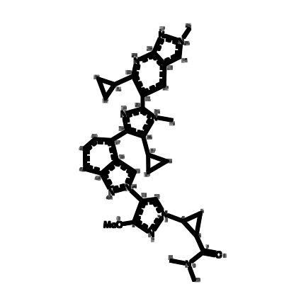 COc1nn(C2CC2C(=O)N(C)C)cc1-n1cc2c(-c3nc(-c4cc5cn(C)nc5nc4C4CC4)n(C)c3C3CC3)cccc2n1